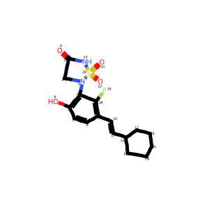 O=C1CN(c2c(O)ccc(/C=C/C3CCCCC3)c2F)S(=O)(=O)N1